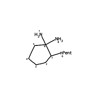 CCCCCC1CCCCC1(N)N